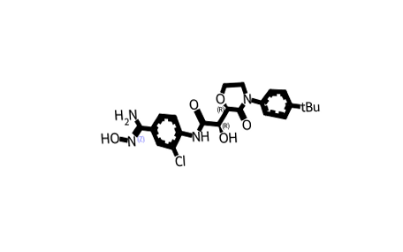 CC(C)(C)c1ccc(N2CCO[C@H]([C@@H](O)C(=O)Nc3ccc(/C(N)=N/O)cc3Cl)C2=O)cc1